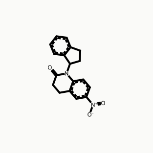 O=C1CCc2cc([N+](=O)[O-])ccc2N1C1CCc2ccccc21